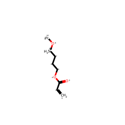 C=CC(=O)OCCC[SiH2]OC(C)C